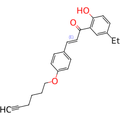 C#CCCCCOc1ccc(/C=C/C(=O)c2cc(CC)ccc2O)cc1